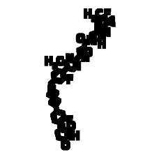 Cc1nc(-c2cc(C(=O)NCc3nc(C4(C(C)(F)F)CC4)n[nH]3)on2)ncc1-c1ccc(CN2CC3(CC(c4ccc(N5CCC(=O)NC5=O)c(F)c4)C3)C2)cc1F